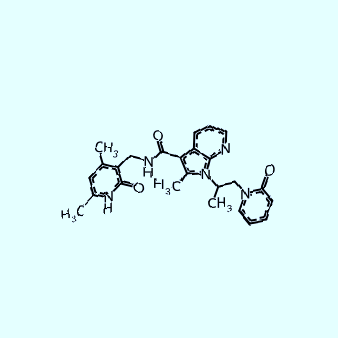 Cc1cc(C)c(CNC(=O)c2c(C)n(C(C)Cn3ccccc3=O)c3ncccc23)c(=O)[nH]1